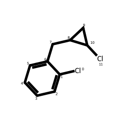 Clc1ccccc1C[C]1CC1Cl